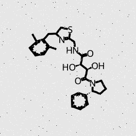 Cc1cccc(C)c1CC1CSC(CNC(=O)[C@H](O)[C@@H](O)C(=O)N2CCC[C@@H]2c2ccccc2)=N1